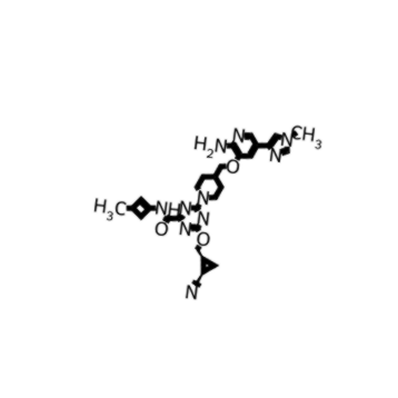 CC1C=C(NC(=O)c2nc(OC[C@H]3C[C@H]3C#N)nc(N3CCC(COc4cc(-c5cn(C)cn5)cnc4N)CC3)n2)C1